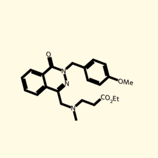 CCOC(=O)CCN(C)Cc1nn(Cc2ccc(OC)cc2)c(=O)c2ccccc12